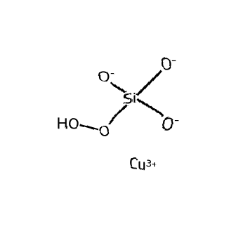 [Cu+3].[O-][Si]([O-])([O-])OO